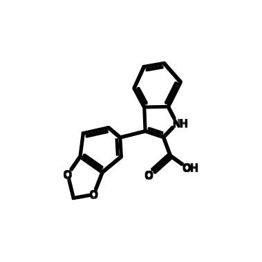 O=C(O)c1[nH]c2ccccc2c1-c1ccc2c(c1)OCO2